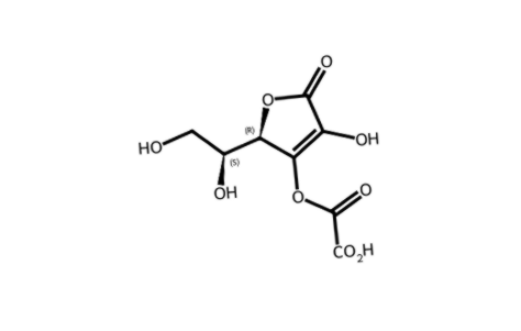 O=C(O)C(=O)OC1=C(O)C(=O)O[C@@H]1[C@@H](O)CO